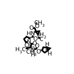 C=C[C@@H]1CC1(NC(=O)[C@@H]1CCCN1C(=O)[C@@H](NC(=O)O[C@@H]1C[C@@H]2C[C@@H]2C1)C(C)(C)C)C(=O)OC